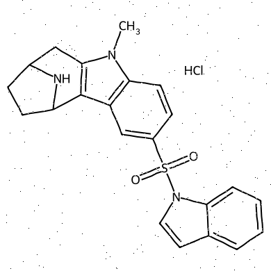 Cl.Cn1c2c(c3cc(S(=O)(=O)n4ccc5ccccc54)ccc31)C1CCC(C2)N1